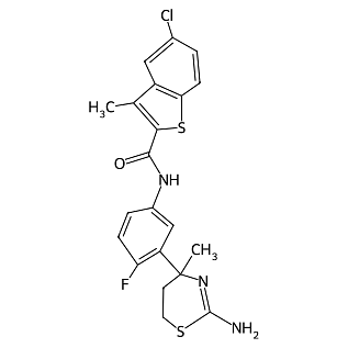 Cc1c(C(=O)Nc2ccc(F)c(C3(C)CCSC(N)=N3)c2)sc2ccc(Cl)cc12